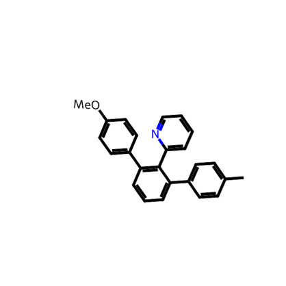 COc1ccc(-c2cccc(-c3ccc(C)cc3)c2-c2ccccn2)cc1